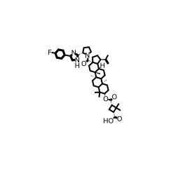 C=C(C)[C@@H]1CC[C@]2(C(=O)N3CCC[C@H]3c3nc(-c4ccc(F)cc4)c[nH]3)CC[C@]3(C)[C@H](CCC4[C@@]5(C)CC[C@H](OC(=O)[C@H]6C[C@@H](C(=O)O)C6(C)C)C(C)(C)C5CC[C@]43C)C12